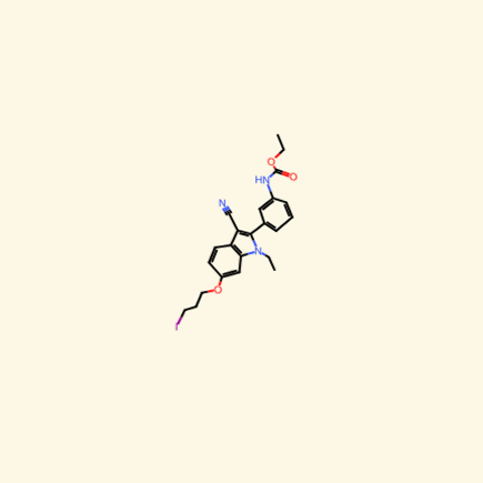 CCOC(=O)Nc1cccc(-c2c(C#N)c3ccc(OCCCI)cc3n2CC)c1